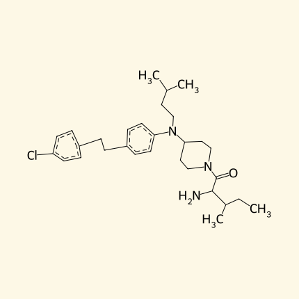 CCC(C)C(N)C(=O)N1CCC(N(CCC(C)C)c2ccc(CCc3ccc(Cl)cc3)cc2)CC1